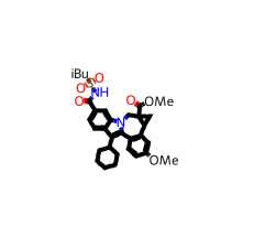 CCC(C)S(=O)(=O)NC(=O)c1ccc2c(C3CCCCC3)c3n(c2c1)CC1(C(=O)OC)CC1c1cc(OC)ccc1-3